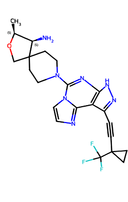 C[C@@H]1OCC2(CCN(c3nc4[nH]nc(C#CC5(C(F)(F)F)CC5)c4c4nccn34)CC2)[C@@H]1N